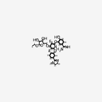 CCOC1OC(COc2c(F)c(Oc3cccc(C4=NCCN4C)c3)nc(Oc3cc(C(=N)N)ccc3O)c2F)C(O)C1O